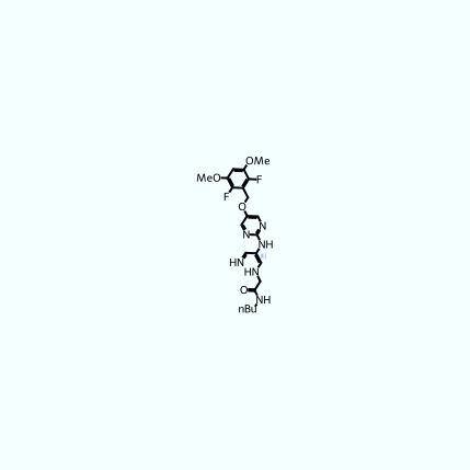 CCCCNC(=O)CN/C=C(\C=N)Nc1ncc(OCc2c(F)c(OC)cc(OC)c2F)cn1